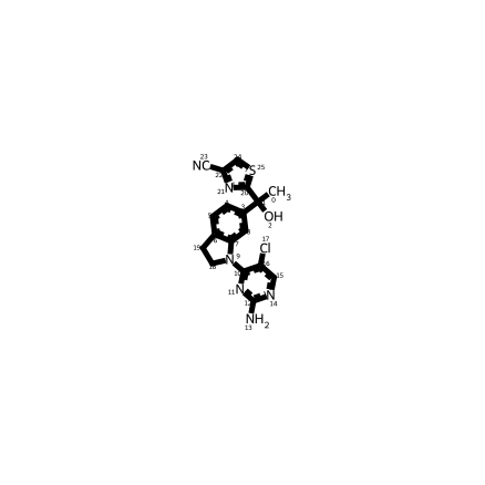 CC(O)(c1ccc2c(c1)N(c1nc(N)ncc1Cl)CC2)c1nc(C#N)cs1